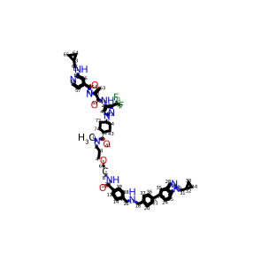 CN(CCCOCCCNC(=O)c1ccc(CNCc2ccc(-c3ccc4c(cnn4CC4CC4)c3)cc2)cc1)C(=O)[C@H]1CC[C@H](n2cc(NC(=O)c3coc(-c4ccnc(NCC5CC5)c4)n3)c(C(F)F)n2)CC1